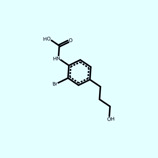 O=C(O)Nc1ccc(CCCO)cc1Br